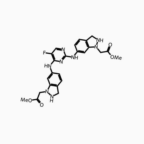 COC(=O)CN1NCc2ccc(Nc3ncc(F)c(Nc4ccc5c(c4)N(CC(=O)OC)NC5)n3)cc21